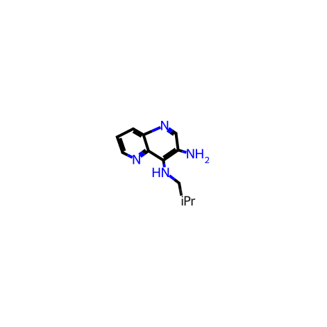 CC(C)CNc1c(N)cnc2cccnc12